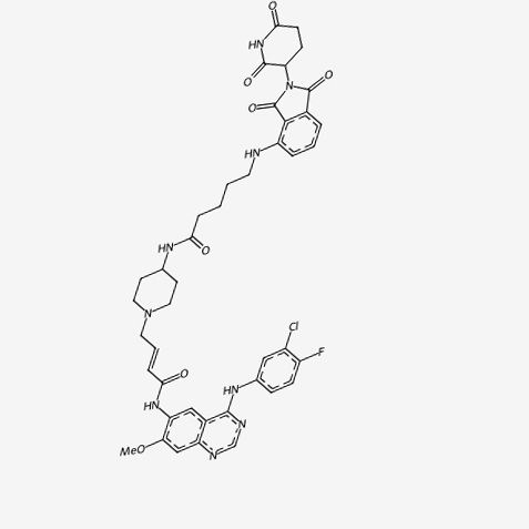 COc1cc2ncnc(Nc3ccc(F)c(Cl)c3)c2cc1NC(=O)/C=C/CN1CCC(NC(=O)CCCCNc2cccc3c2C(=O)N(C2CCC(=O)NC2=O)C3=O)CC1